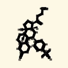 C=C(CCOC)[C@@H]1CC[C@H]2[C@@H]3CCC4=CC(=O)CCC4=C3[C@@H](c3ccc(P(C)(C)=O)cc3)C[C@]12C